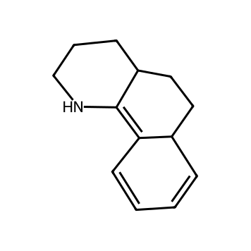 C1=CC2=C3NCCCC3CCC2C=C1